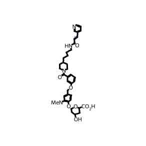 CNc1cc(COc2cccc(C(=O)N3CCC(CCCCNC(=O)/C=C/c4cccnc4)CC3)c2)ccc1OC1CC(O)CC(C(=O)O)O1